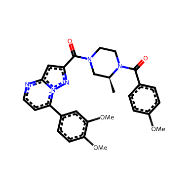 COc1ccc(C(=O)N2CCN(C(=O)c3cc4nccc(-c5ccc(OC)c(OC)c5)n4n3)C[C@@H]2C)cc1